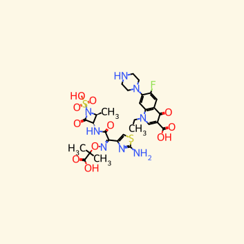 CCn1cc(C(=O)O)c(=O)c2cc(F)c(N3CCNCC3)cc21.C[C@H]1[C@H](NC(=O)/C(=N\OC(C)(C)C(=O)O)c2csc(N)n2)C(=O)N1S(=O)(=O)O